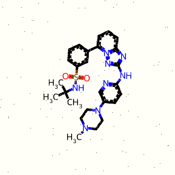 CN1CCN(c2ccc(Nc3nc4cccc(-c5cccc(S(=O)(=O)NC(C)(C)C)c5)n4n3)nc2)CC1